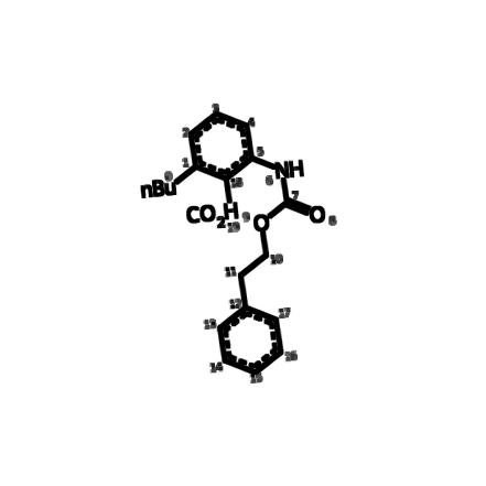 CCCCc1cccc(NC(=O)OCCc2ccccc2)c1C(=O)O